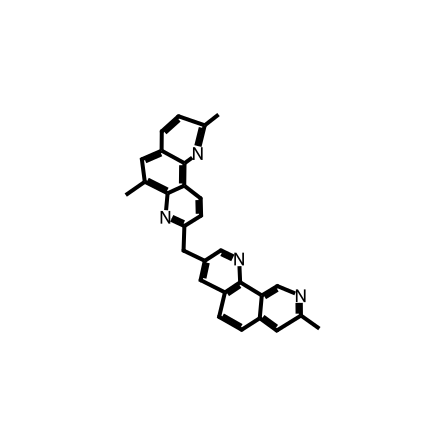 Cc1cc2ccc3cc(Cc4ccc5c(n4)c(C)cc4ccc(C)nc45)cnc3c2cn1